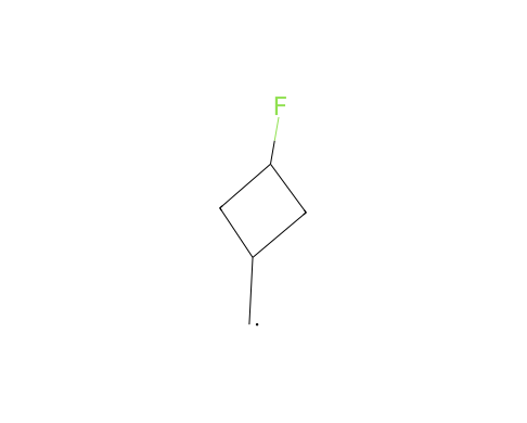 [CH2]C1CC(F)C1